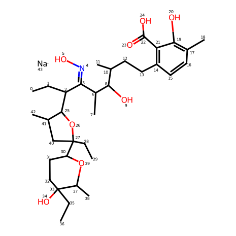 CCC(C(=NO)C(C)C(O)C(C)CCc1ccc(C)c(O)c1C(=O)O)C1OC(CC)(C2CCC(O)(CC)C(C)O2)CC1C.[Na]